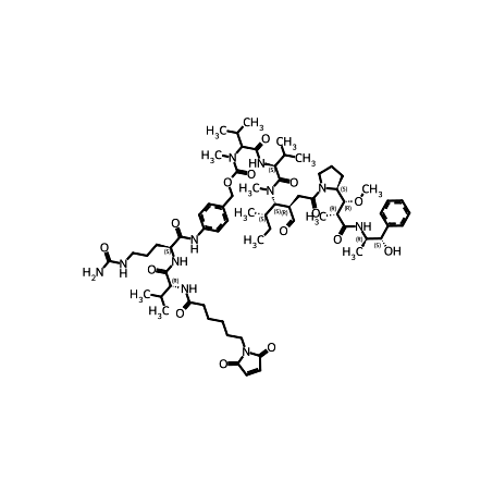 CC[C@H](C)[C@@H]([C@H](C=O)CC(=O)N1CCC[C@H]1[C@H](OC)[C@@H](C)C(=O)N[C@H](C)[C@@H](O)c1ccccc1)N(C)C(=O)[C@@H](NC(=O)C(C(C)C)N(C)C(=O)OCc1ccc(NC(=O)[C@H](CCCNC(N)=O)NC(=O)[C@H](NC(=O)CCCCCN2C(=O)C=CC2=O)C(C)C)cc1)C(C)C